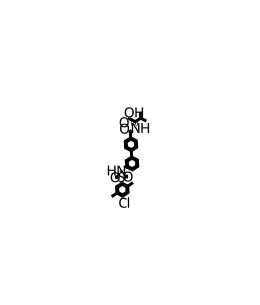 Cc1cc(S(=O)(=O)Nc2cccc(-c3ccc(C(=O)N[C@H](C(=O)O)C(C)C)cc3)c2)c(C)cc1Cl